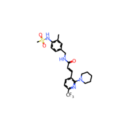 Cc1cc(CNC(=O)/C=C/c2ccc(C(F)(F)F)nc2N2CCCCC2)ccc1NS(C)(=O)=O